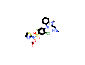 CNCCN(C)[C@H]1CCCC[C@@H]1Nc1cc(F)c(S(=O)(=O)N(OC=O)c2nccs2)cc1Cl